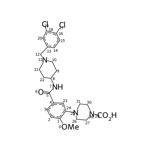 COc1ccc(C(=O)NC2CCN(Cc3ccc(Cl)c(Cl)c3)CC2)cc1N1CCN(C(=O)O)CC1